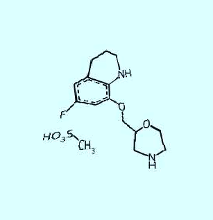 CS(=O)(=O)O.Fc1cc2c(c(OCC3CNCCO3)c1)NCCC2